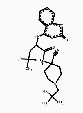 CC(C)(C)CC(Nc1nc(=O)oc2ccccc12)C(=O)NC1(C#N)CCN(CC(C)(C)C)CC1